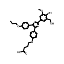 CCCOc1ccc(-c2sc(-c3cc(CO)c(O)c(OC)c3)nc2-c2ccc(OCCCC(=O)O)cc2)cc1